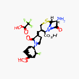 N[C@@H]1C(=O)N2C(C(=O)O)=C(C=C3CCN(c4ccc(O)cc4F)C3=O)CS[C@H]12.O=C(O)C(F)(F)F